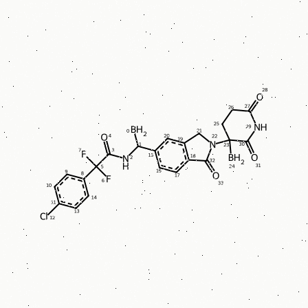 BC(NC(=O)C(F)(F)c1ccc(Cl)cc1)c1ccc2c(c1)CN(C1(B)CCC(=O)NC1=O)C2=O